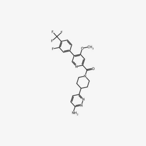 COc1cc(C(=O)N2CCC(c3ccc(N)nn3)CC2)ncc1-c1ccc(C(F)(F)F)c(F)c1